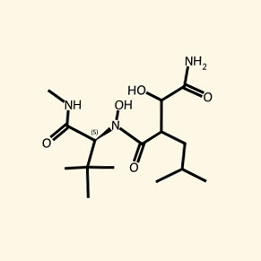 CNC(=O)[C@@H](N(O)C(=O)C(CC(C)C)C(O)C(N)=O)C(C)(C)C